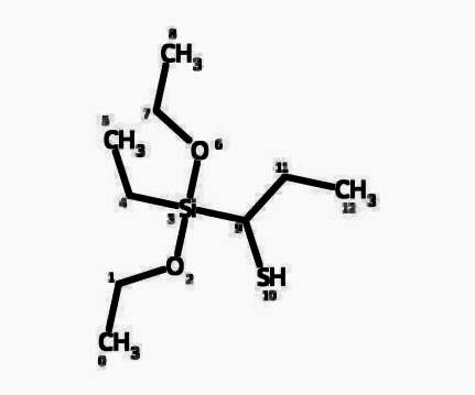 CCO[Si](CC)(OCC)C(S)CC